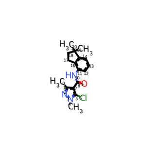 Cc1nn(C)c(Cl)c1C(=O)Nc1cccc2c1CCC2(C)C